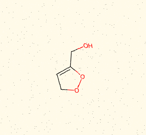 OCC1=CCOO1